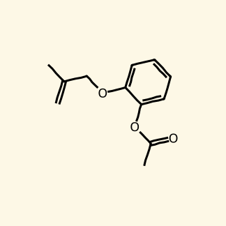 C=C(C)COc1ccccc1OC(C)=O